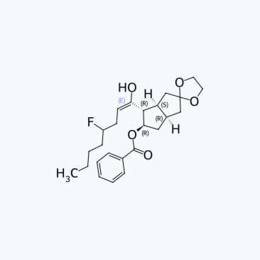 CCCCC(F)C/C=C(/O)[C@@H]1[C@H]2CC3(C[C@H]2C[C@H]1OC(=O)c1ccccc1)OCCO3